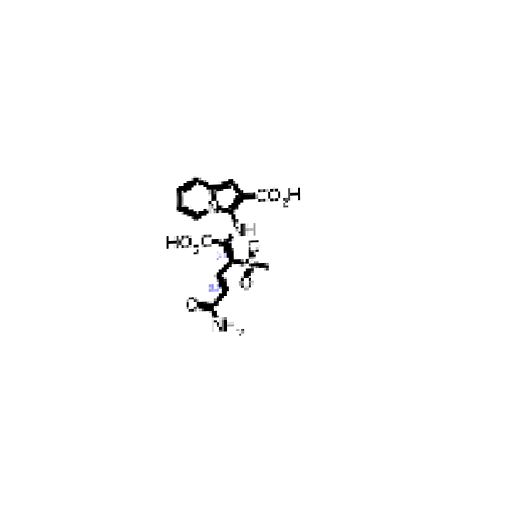 CS(=O)(=O)C(/C=C/C(N)=O)=C(\Nc1c(C(=O)O)cc2ccccn12)C(=O)O